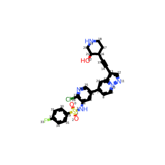 O=S(=O)(Nc1cc(-c2ccn3ncc(C#CC4CCNCC4O)c3c2)cnc1Cl)c1ccc(F)cc1